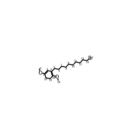 COC1=CC(CCCCCCCCCCBr)=C(OC)CC1